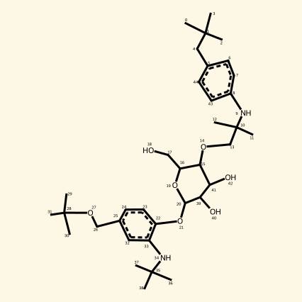 CC(C)(C)Cc1ccc(NC(C)(C)COC2C(CO)OC(Oc3ccc(COC(C)(C)C)cc3NC(C)(C)C)C(O)C2O)cc1